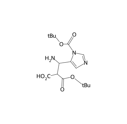 CC(C)(C)OC(=O)C(C(=O)O)C(N)c1cncn1C(=O)OC(C)(C)C